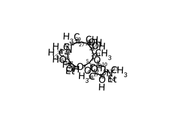 CC[C@H]1OC(=O)[C@H](C)[C@@H](O[C@H]2CC(N(C)CC)[C@H](O)C(C)O2)[C@H](C)[C@@H](O)[C@](C)(O)C[C@@H](C)CN(C)[C@H](C)[C@@H](O)[C@@]1(O)F